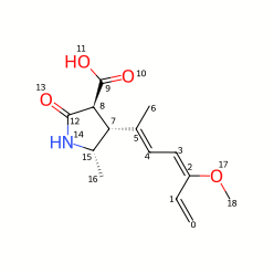 C=C/C(=C\C=C(/C)[C@H]1[C@H](C(=O)O)C(=O)N[C@H]1C)OC